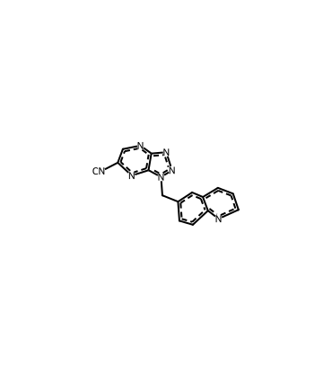 [C-]#[N+]c1cnc2nnn(Cc3ccc4ncccc4c3)c2n1